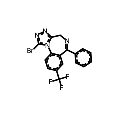 FC(F)(F)c1ccc2c(c1)C(c1ccccc1)=NCc1nnc(Br)n1-2